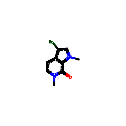 Cn1ccc2c(Br)cn(C)c2c1=O